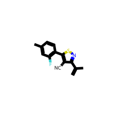 C=C(C)c1nsc(-c2ccc(C)cc2F)c1C#N